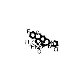 C/C(=C1/c2ccc(Cc3c(C4CC4)nc4c(Cl)cccn34)cc2COc2cc(F)ccc21)c1noc(=O)[nH]1